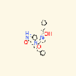 NC(=O)CCC(CCCc1ccccc1)N(C(=O)C1CCCN(CC(O)[CH]Cc2ccccc2)C1)c1ccccc1